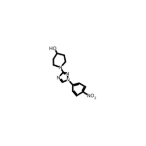 O=[N+]([O-])c1ccc(-n2cnc(N3CCC(O)CC3)n2)cc1